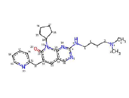 CN(C)CCCCNc1ncc2cc(Cc3ccccn3)c(=O)n(C3CCCC3)c2n1